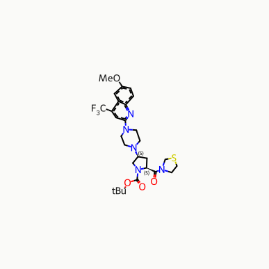 COc1ccc2nc(N3CCN([C@H]4C[C@@H](C(=O)N5CCSC5)N(C(=O)OC(C)(C)C)C4)CC3)cc(C(F)(F)F)c2c1